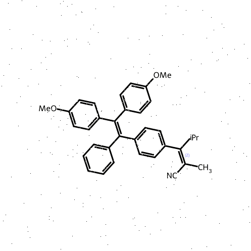 COc1ccc(C(=C(c2ccccc2)c2ccc(/C(=C(/C)C#N)C(C)C)cc2)c2ccc(OC)cc2)cc1